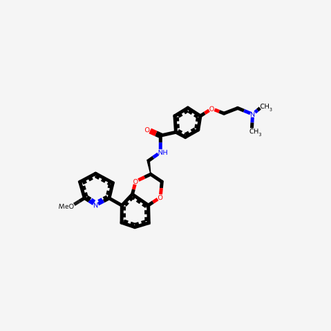 COc1cccc(-c2cccc3c2O[C@@H](CNC(=O)c2ccc(OCCN(C)C)cc2)CO3)n1